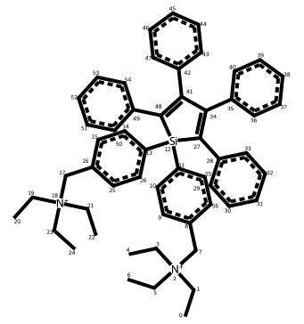 CC[N+](CC)(CC)Cc1ccc([Si]2(c3ccc(C[N+](CC)(CC)CC)cc3)C(c3ccccc3)=C(c3ccccc3)C(c3ccccc3)=C2c2ccccc2)cc1